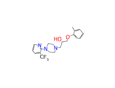 Cc1ccccc1OCC(O)CN1CCN(c2ncccc2C(F)(F)F)CC1